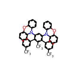 FC(F)(F)c1cccc(-c2c(N3c4ccccc4Oc4ccccc43)cc(N3c4ccccc4Oc4ccccc43)c(-c3cccc(C(F)(F)F)c3)c2C(F)(F)F)c1